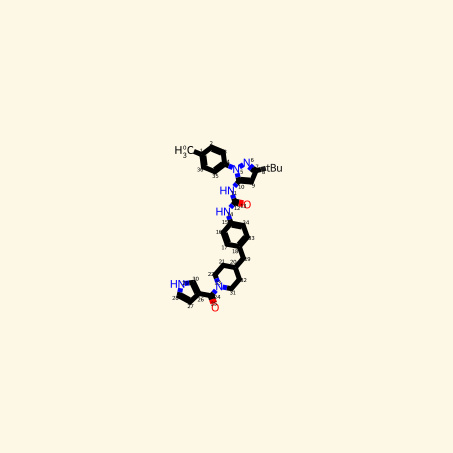 Cc1ccc(-n2nc(C(C)(C)C)cc2NC(=O)Nc2ccc(CC3CCN(C(=O)c4cc[nH]c4)CC3)cc2)cc1